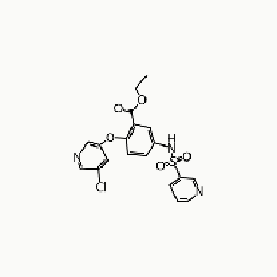 CCOC(=O)c1cc(NS(=O)(=O)c2cccnc2)ccc1Oc1cncc(Cl)c1